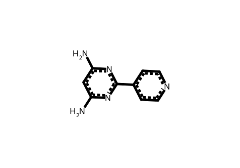 Nc1cc(N)nc(-c2ccncc2)n1